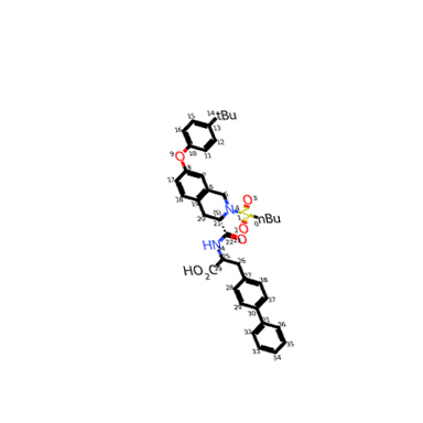 CCCCS(=O)(=O)N1Cc2cc(Oc3ccc(C(C)(C)C)cc3)ccc2C[C@H]1C(=O)NC(Cc1ccc(-c2ccccc2)cc1)C(=O)O